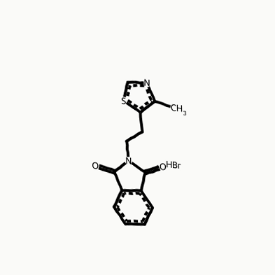 Br.Cc1ncsc1CCN1C(=O)c2ccccc2C1=O